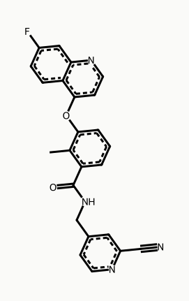 Cc1c(Oc2ccnc3cc(F)ccc23)cccc1C(=O)NCc1ccnc(C#N)c1